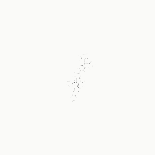 Cc1ccc(-c2cccc3c2sc2ccccc23)c(-n2c3ccccc3c3cc(-c4ccc5c(c4)c4ccccc4n5-c4ccccc4)ccc32)c1